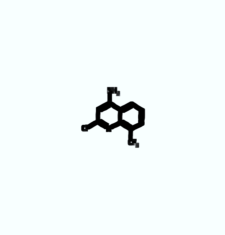 Nc1cc(Cl)nc2c(C(F)(F)F)cccc12